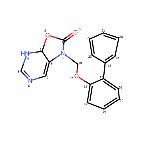 O=C1OC2NC=NC=C2N1COc1ccccc1-c1ccccc1